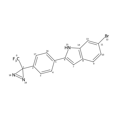 FC(F)(F)C1(c2ccc(-c3cc4ccc(Br)cc4[nH]3)cc2)N=N1